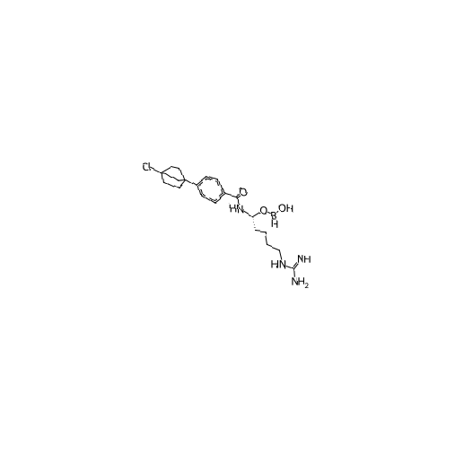 N=C(N)NCCCC[C@H](NC(=O)c1ccc(C23CCC(Cl)(CC2)CC3)cc1)OBO